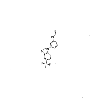 O=CNc1cccc(-n2cnc3cc(C(F)(F)F)ccc32)c1